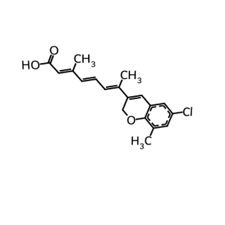 CC(/C=C/C=C(\C)C1=Cc2cc(Cl)cc(C)c2OC1)=C\C(=O)O